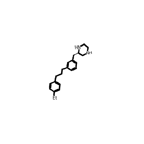 CCc1ccc(CCCc2cccc(C[C@@H]3CNCCN3)c2)cc1